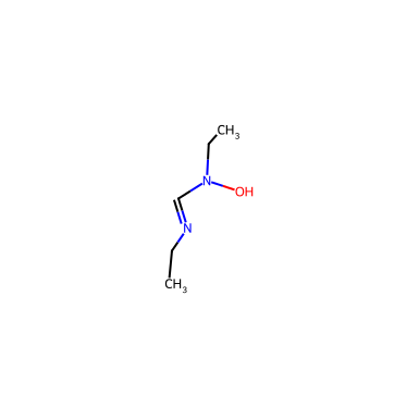 CCN=CN(O)CC